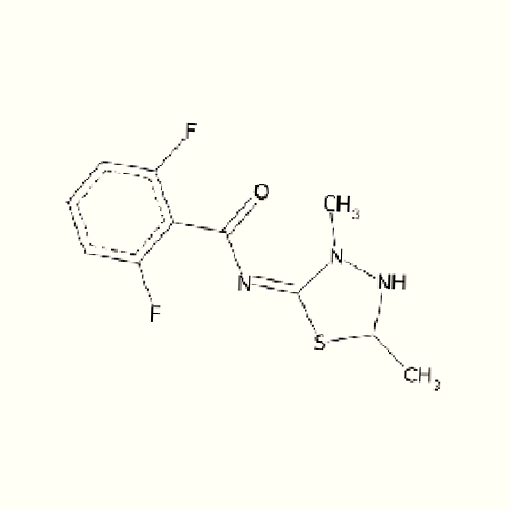 CC1NN(C)C(=NC(=O)c2c(F)cccc2F)S1